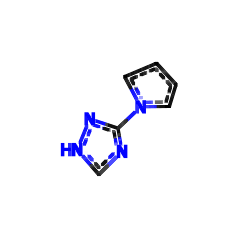 c1ccn(-c2nc[nH]n2)c1